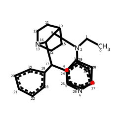 CCN(c1ccncc1)C1C2CCN(CC2)C1C(c1ccccc1)c1ccccc1